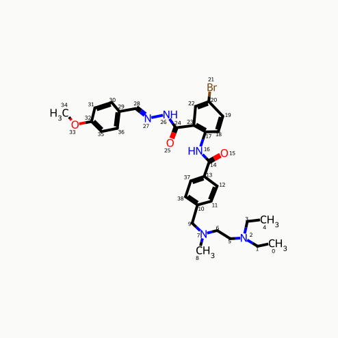 CCN(CC)CCN(C)Cc1ccc(C(=O)Nc2ccc(Br)cc2C(=O)N/N=C/c2ccc(OC)cc2)cc1